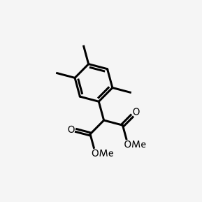 COC(=O)C(C(=O)OC)c1cc(C)c(C)cc1C